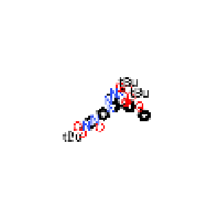 CC(C)(C)OC(=O)N1CCN(C2CCC(n3cc(-c4ccc(Oc5ccccc5)cc4)c4c(N(C(=O)OC(C)(C)C)C(=O)OC(C)(C)C)ncnc43)CC2)C(=O)C1